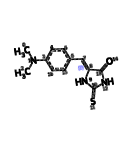 CN(C)c1ccc(/C=C2\NC(=S)NC2=O)cc1